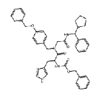 O=C(CN(Cc1ccc(OCc2ccccc2)cc1)C(=O)C(Cc1c[nH]cn1)NC(=O)OCc1ccccc1)NC(c1ccccc1)C1CCCC1